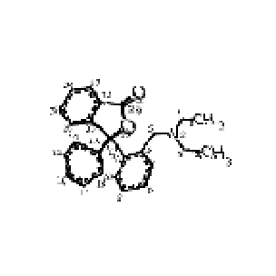 CCN(CC)Cc1ccccc1C1(c2ccccc2)OC(=O)c2ccccc21